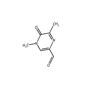 Cc1nc(C=O)cn(C)c1=O